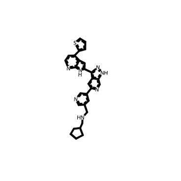 c1csc(-c2ccnc3[nH]c(-c4n[nH]c5cnc(-c6cncc(CNCC7CCCC7)c6)cc45)cc23)c1